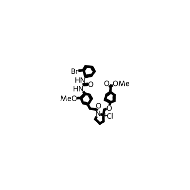 COC(=O)c1ccc(OC[C@@]2(Cl)CCCN2C(=O)Cc2ccc(NC(=O)Nc3ccccc3Br)c(OC)c2)cc1